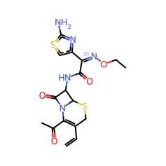 C=CC1=C(C(C)=O)N2C(=O)C(NC(=O)/C(=N\OCC)c3csc(N)n3)C2SC1